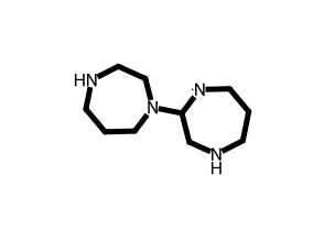 C1C[N]C(N2CCCNCC2)CNC1